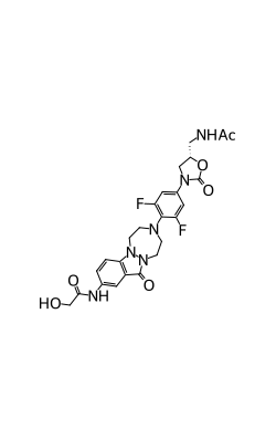 CC(=O)NC[C@H]1CN(c2cc(F)c(N3CCn4c(=O)c5cc(NC(=O)CO)ccc5n4CC3)c(F)c2)C(=O)O1